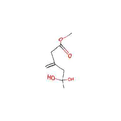 C=C(CC(=O)OC)CC(C)(O)O